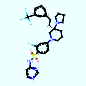 O=S(=O)(Nc1ccncn1)c1ccc(N2CCC[C@](CCc3cccc(C(F)(F)F)c3)(N3CCCC3)C2)cc1F